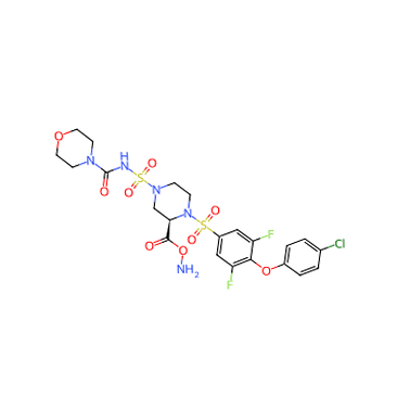 NOC(=O)[C@H]1CN(S(=O)(=O)NC(=O)N2CCOCC2)CCN1S(=O)(=O)c1cc(F)c(Oc2ccc(Cl)cc2)c(F)c1